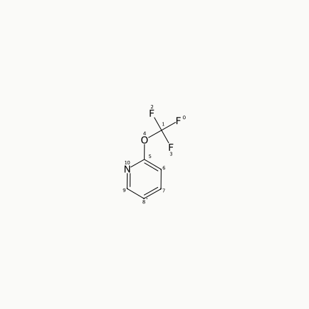 FC(F)(F)Oc1cc[c]cn1